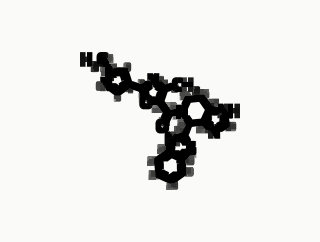 Cc1nc(-c2cnn(C)c2)oc1C(=O)N1CCc2[nH]cnc2[C@H]1c1nc2ccccc2s1